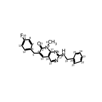 Cn1c(=O)c(Cc2ccc(F)cc2)cc2cnc(NCc3ccccc3)nc21